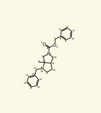 CC12CN(C(=O)OCc3ccccc3)CC1CCN2Cc1ccccc1